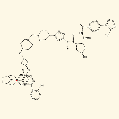 CC(C)[C@@H](C(=O)N1C[C@H](O)C[C@H]1C(=O)N[C@@H](C)c1ccc(-n2ccnc2N)cc1)c1cc(N2CCC(CN3CCC(O[C@H]4C[C@H](Oc5cc(N6C7CCC6CN(c6cc(-c8ccccc8O)nnc6N)C7)ccn5)C4)CC3)CC2)no1